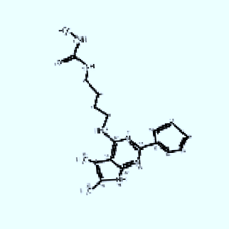 CNC(=O)NCCCCNc1nc(-c2ccccc2)nc2[nH]c(C)c(C)c12